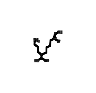 NCCCN(CCCC[N+]([O-])=NO)N(O)N=O